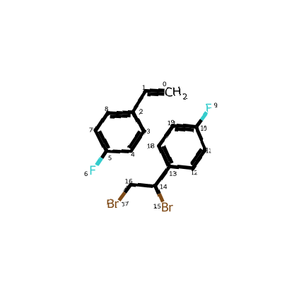 C=Cc1ccc(F)cc1.Fc1ccc(C(Br)CBr)cc1